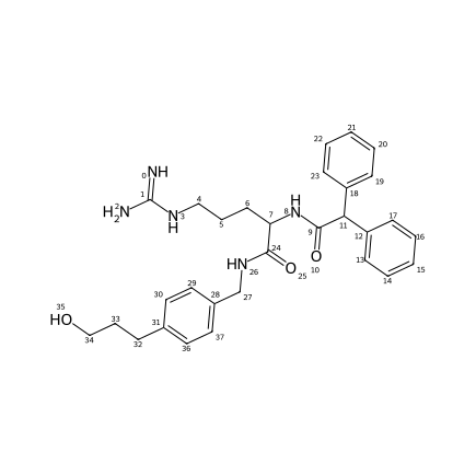 N=C(N)NCCCC(NC(=O)C(c1ccccc1)c1ccccc1)C(=O)NCc1ccc(CCCO)cc1